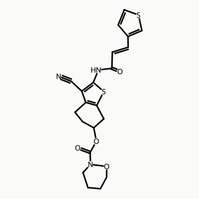 N#Cc1c(NC(=O)C=Cc2ccsc2)sc2c1CCC(OC(=O)N1CCCCO1)C2